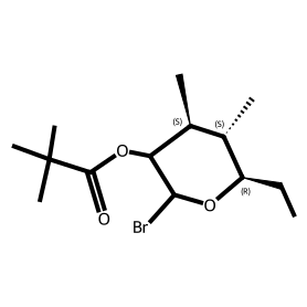 CC[C@H]1OC(Br)C(OC(=O)C(C)(C)C)[C@@H](C)[C@@H]1C